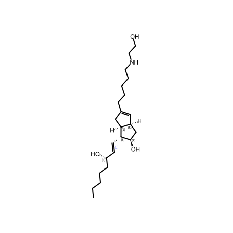 CCCCC[C@H](O)/C=C/[C@@H]1[C@H]2CC(CCCCCNCCO)=C[C@H]2C[C@H]1O